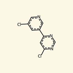 Clc1cncc(-c2cc(Cl)ncn2)c1